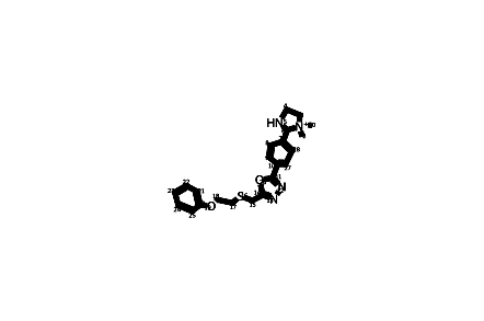 C[N+]1(C)CCNC1c1ccc(-c2nnc(CSCCOc3ccccc3)o2)cc1